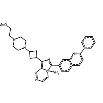 COCCN1CCN(C2CC(C3=C4C=NC=C[N+]4(N)C(c4ccc5ccc(-c6ccccc6)nc5c4)=N3)C2)CC1